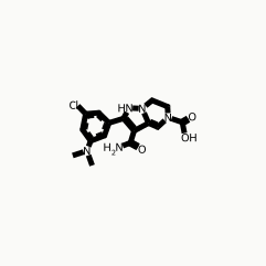 CN(C)c1cc(Cl)cc(C2=C(C(N)=O)C3=CN(C(=O)O)CCN3N2)c1